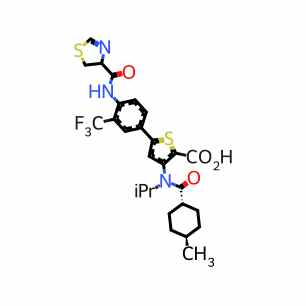 CC(C)N(c1cc(-c2ccc(NC(=O)C3CSC=N3)c(C(F)(F)F)c2)sc1C(=O)O)C(=O)[C@H]1CC[C@H](C)CC1